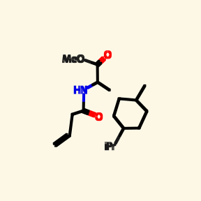 C=CCC(=O)NC(C)C(=O)OC.CC1CCC(C(C)C)CC1